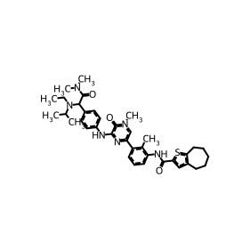 CCN(C(C)C)C(C(=O)N(C)C)c1ccc(Nc2nc(-c3cccc(NC(=O)c4cc5c(s4)CCCCC5)c3C)cn(C)c2=O)cc1